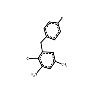 Cc1cc(N)c(Cl)c(Cc2ccc(F)cc2)c1